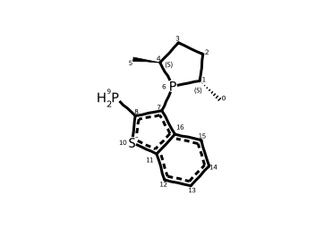 C[C@H]1CC[C@H](C)P1c1c(P)sc2ccccc12